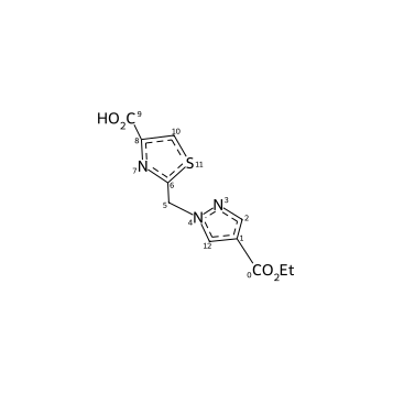 CCOC(=O)c1cnn(Cc2nc(C(=O)O)cs2)c1